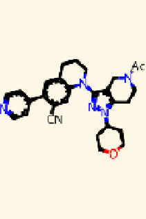 CC(=O)N1CCc2c(c(N3CCCc4cc(-c5ccncc5)c(C#N)cc43)nn2C2CCOCC2)C1